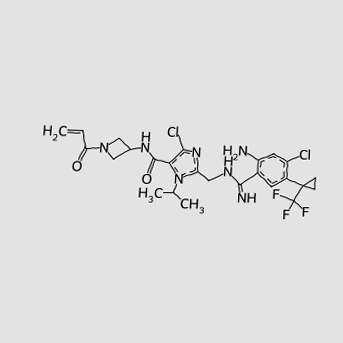 C=CC(=O)N1CC(NC(=O)c2c(Cl)nc(CNC(=N)c3cc(C4(C(F)(F)F)CC4)c(Cl)cc3N)n2C(C)C)C1